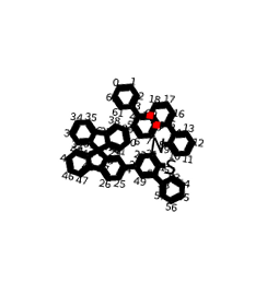 c1ccc(-c2ccc(N(c3ccccc3-c3ccccc3)c3cc(-c4ccc5c(c4)C4(c6ccccc6-c6ccccc64)c4ccccc4-5)cc4c3sc3ccccc34)cc2)cc1